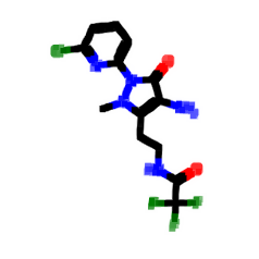 Cn1c(CCNC(=O)C(F)(F)F)c(N)c(=O)n1-c1cccc(Cl)n1